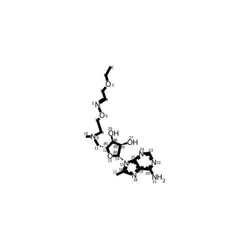 CCOCC=NOCCN(C)C[C@H]1O[C@@H](n2c(C)nc3c(N)ncnc32)[C@H](O)[C@@H]1O